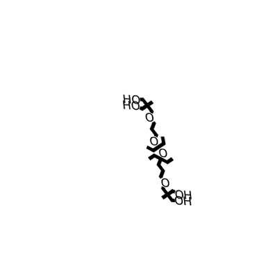 CCC(CC)(CCCOCC(C)(CO)CO)OC(CC)(CC)OCCCOCC(C)(CO)CO